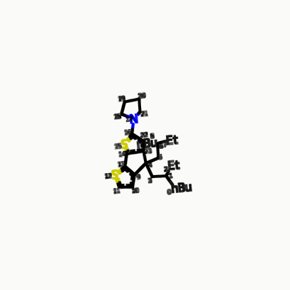 CCCCC(CC)CC1(CC(CC)CCCC)c2ccsc2-c2sc(N3CCCC3)cc21